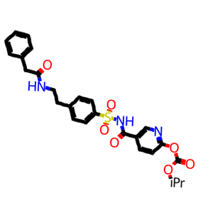 CC(C)OC(=O)Oc1ccc(C(=O)NS(=O)(=O)c2ccc(CCNC(=O)Cc3ccccc3)cc2)cn1